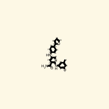 Cc1cc(F)cc(Nc2ncc(Nc3ccc(-c4ccco4)cc3)cc2C(N)=O)c1